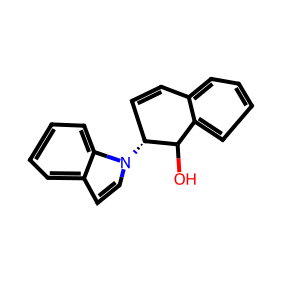 OC1c2ccccc2C=C[C@H]1n1ccc2ccccc21